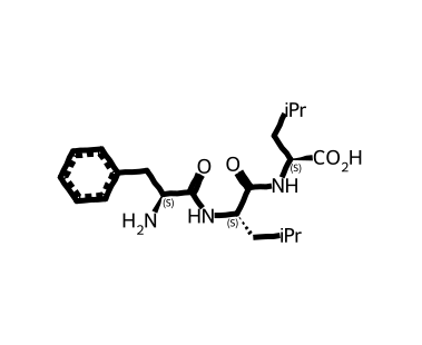 CC(C)C[C@H](NC(=O)[C@H](CC(C)C)NC(=O)[C@@H](N)Cc1ccccc1)C(=O)O